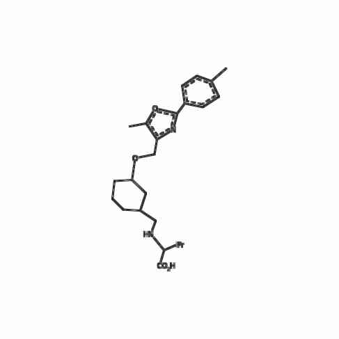 Cc1ccc(-c2nc(COC3CCCC(CNC(C(=O)O)C(C)C)C3)c(C)o2)cc1